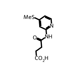 CSc1ccnc(NC(=O)CCC(=O)O)c1